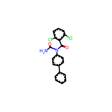 NC(=O)N(C(=O)c1c(Cl)cccc1Cl)c1ccc(-c2ccccc2)cc1